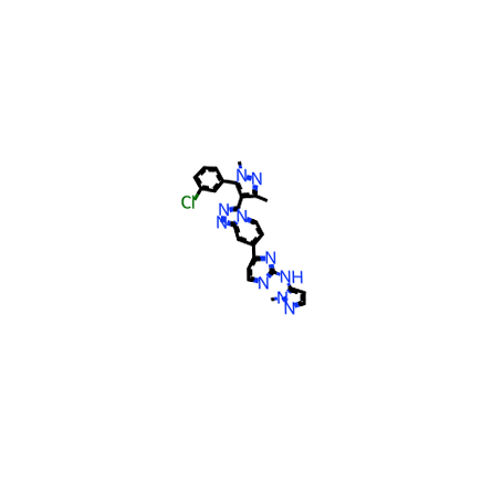 Cc1nn(C)c(-c2cccc(Cl)c2)c1-c1nnc2cc(-c3ccnc(Nc4ccnn4C)n3)ccn12